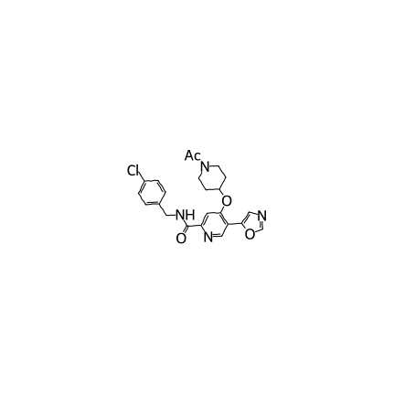 CC(=O)N1CCC(Oc2cc(C(=O)NCc3ccc(Cl)cc3)ncc2-c2cnco2)CC1